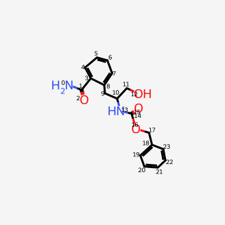 NC(=O)c1ccccc1CC(CO)NC(=O)OCc1ccccc1